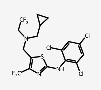 FC(F)(F)CN(Cc1sc(Nc2c(Cl)cc(Cl)cc2Cl)nc1C(F)(F)F)CC1CC1